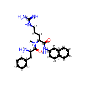 CN(C(=O)C(N)Cc1ccccc1)C(CCCNC(=N)N)C(=O)Nc1ccc2ccccc2c1